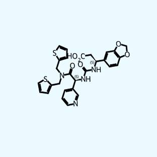 O=C(O)C[C@H](NC(=O)N[C@H](C(=O)N(Cc1cccs1)Cc1cccs1)c1cccnc1)c1ccc2c(c1)OCO2